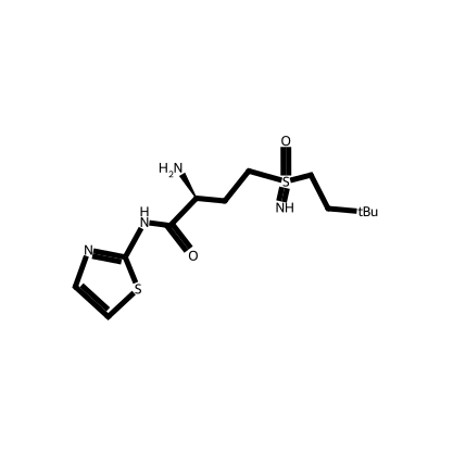 CC(C)(C)CCS(=N)(=O)CC[C@H](N)C(=O)Nc1nccs1